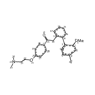 COc1cc(F)ccc1-c1ccccc1CC(=O)c1ccc(OCCN(C)C)cc1